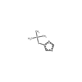 C[Si](C)(C)Sn1cncn1